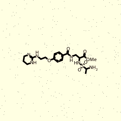 COC(=O)C(CNC(=O)c1ccc(OCCNC2=NCCCN2)cc1)NS(=O)(=O)C(C)N